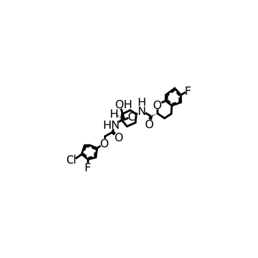 O=C(COc1ccc(Cl)c(F)c1)NC12CCC(NC(=O)[C@H]3CCc4cc(F)ccc4O3)(CC1)C[C@@H]2O